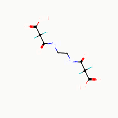 O=C(O)C(F)(F)C(=O)NCCNC(=O)C(F)(F)C(=O)O